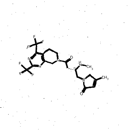 CN[C@@H](CC(=O)N1CCc2c(nc(C(F)(F)F)nc2C(F)(F)F)C1)CN1CC(C)=CC1=O